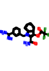 N=C(N)c1cccc(Cn2c(C(N)=O)c(OC(=O)C(F)(F)F)c3ccccc32)c1